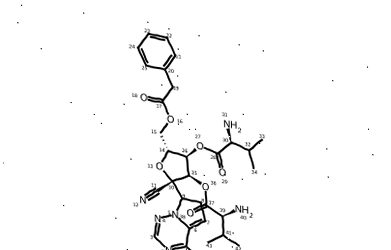 CC1=NC=NN2C1=CCC2[C@]1(C#N)O[C@H](COC(=O)Cc2ccccc2)[C@@H](OC(=O)[C@@H](N)C(C)C)[C@H]1OC(=O)[C@@H](N)C(C)C